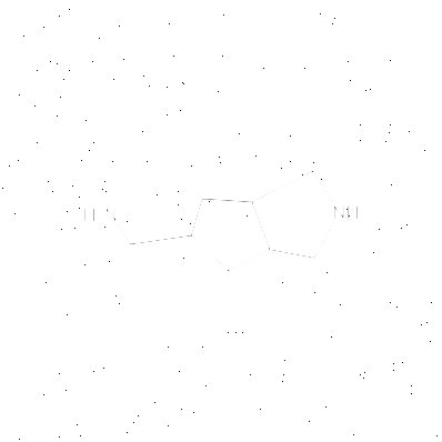 NCC1CC2CNCC2C1